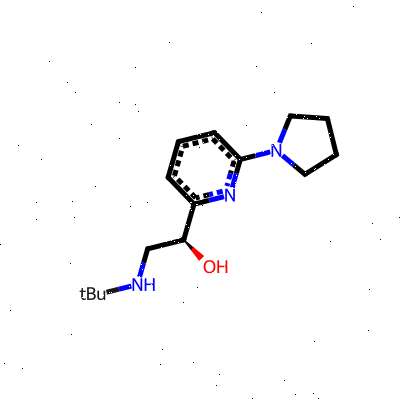 CC(C)(C)NC[C@H](O)c1cccc(N2CCCC2)n1